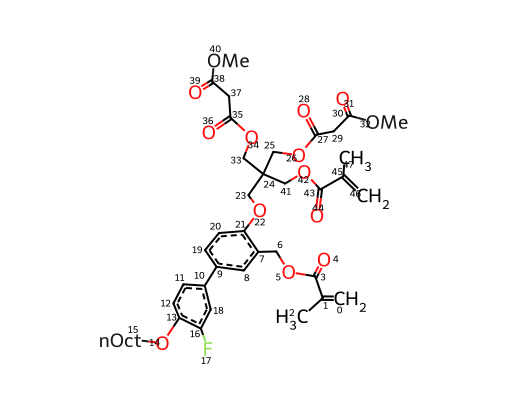 C=C(C)C(=O)OCc1cc(-c2ccc(OCCCCCCCC)c(F)c2)ccc1OCC(COC(=O)CC(=O)OC)(COC(=O)CC(=O)OC)COC(=O)C(=C)C